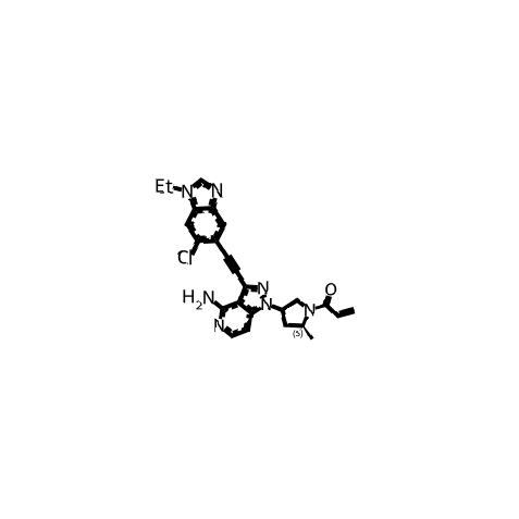 C=CC(=O)N1CC(n2nc(C#Cc3cc4ncn(CC)c4cc3Cl)c3c(N)nccc32)C[C@@H]1C